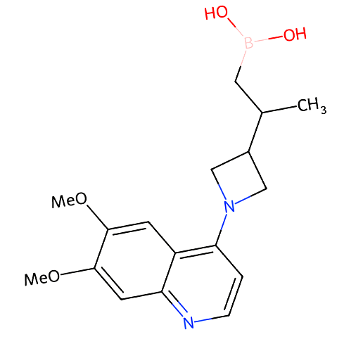 COc1cc2nccc(N3CC(C(C)CB(O)O)C3)c2cc1OC